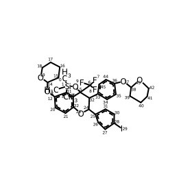 C[Si](C)(C)OC1(C(F)(F)F)c2cc(OC3CCCCO3)ccc2OC(c2ccc(I)cc2)C1c1ccc(OC2CCCCO2)cc1